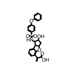 C=C(C(=O)O)c1cccc2c1OC1CC(O)C(NS(=O)(=O)c3ccc(Oc4ccccc4)cc3)C21